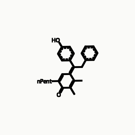 CCCCCC1=CC(=C(Cc2ccccc2)c2ccc(O)cc2)C(C)=C(C)C1=O